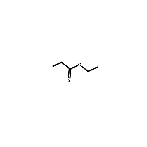 CCOC(=S)CI